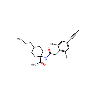 CC#Cc1cc(CC)c(CC(=O)NC2(C(=O)OC)CCC(CCOC)CC2)c(CC)c1